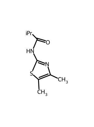 Cc1nc(NC(=O)C(C)C)sc1C